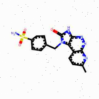 Cc1ccc2c(nnc3[nH]c(=O)n(Cc4ccc(S(N)(=O)=O)cc4)c32)n1